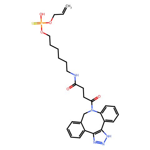 C=CCOP(O)(=S)OCCCCCCNC(=O)CCC(=O)N1Cc2ccccc2-c2nn[nH]c2-c2ccccc21